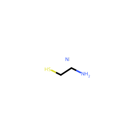 NCCS.[N]